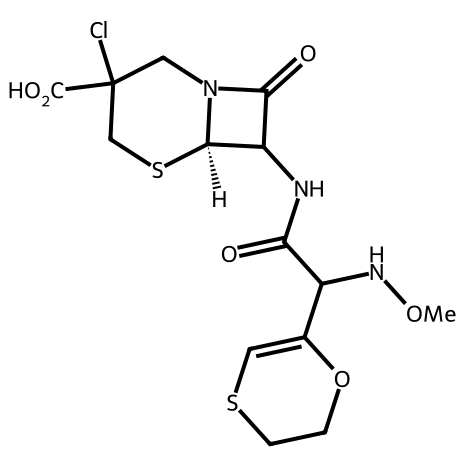 CONC(C(=O)NC1C(=O)N2CC(Cl)(C(=O)O)CS[C@H]12)C1=CSCCO1